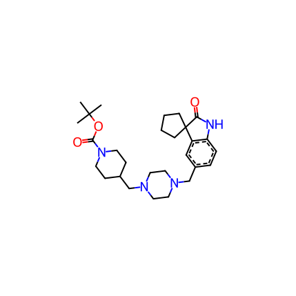 CC(C)(C)OC(=O)N1CCC(CN2CCN(Cc3ccc4c(c3)C3(CCCC3)C(=O)N4)CC2)CC1